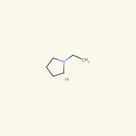 CCN1CCCC1.I